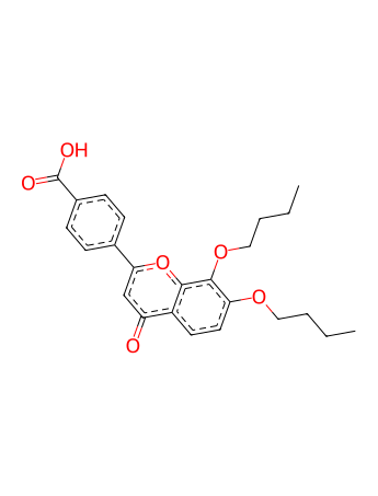 CCCCOc1ccc2c(=O)cc(-c3ccc(C(=O)O)cc3)oc2c1OCCCC